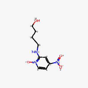 O=[N+]([O-])c1cc[n+]([O-])c(NCCCCO)c1